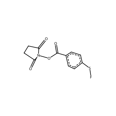 O=C(ON1C(=O)CCC1=O)c1ccc(SF)cc1